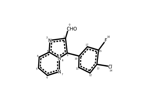 O=Cc1nc2cccnn2c1-c1ccc(Cl)c(F)c1